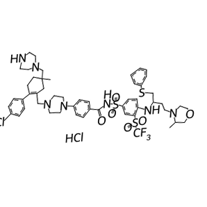 CC1COCCN1CCC(CSc1ccccc1)Nc1ccc(S(=O)(=O)NC(=O)c2ccc(N3CCN(CC4=C(c5ccc(Cl)cc5)CCC(C)(CN5CCNCC5)C4)CC3)cc2)cc1S(=O)(=O)C(F)(F)F.Cl